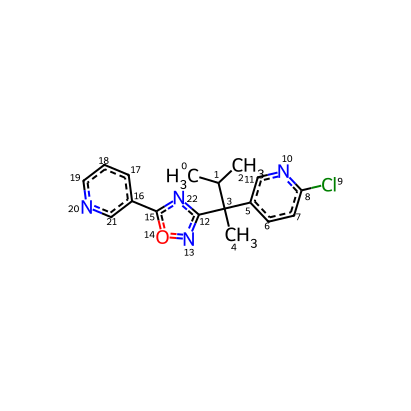 CC(C)C(C)(c1ccc(Cl)nc1)c1noc(-c2cccnc2)n1